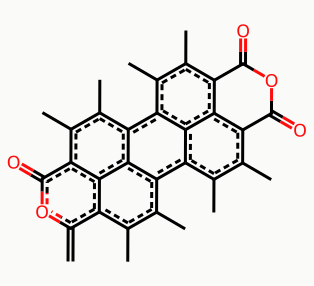 C=c1oc(=O)c2c(C)c(C)c3c4c(C)c(C)c5c6c(c(C)c(C)c(c7c(C)c(C)c1c2c73)c64)C(=O)OC5=O